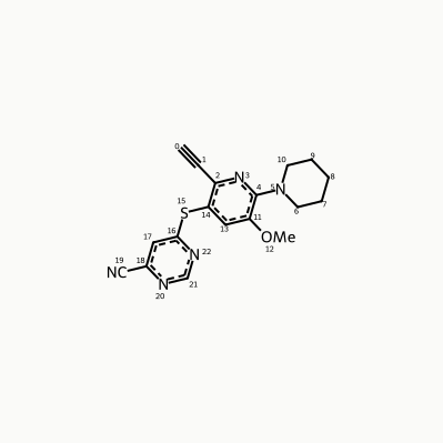 C#Cc1nc(N2CCCCC2)c(OC)cc1Sc1cc(C#N)ncn1